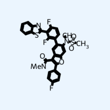 CNC(=O)c1c(-c2ccc(F)cc2)oc2cc(N(C)S(C)(=O)=O)c(-c3ccc(F)c(-c4nc5ccccc5s4)c3F)cc12